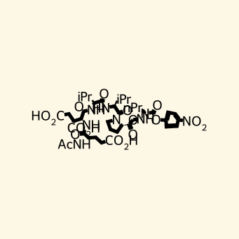 CCCN(NOC(=O)[C@@H]1CCCN1C(=O)[C@@H](NC(=O)[C@@H](NC(=O)[C@H](NC(=O)[C@@H](CCC(=O)O)NC(C)=O)C(CC(=O)O)C(=O)O)C(C)C)C(C)C)C(=O)Oc1ccc([N+](=O)[O-])cc1